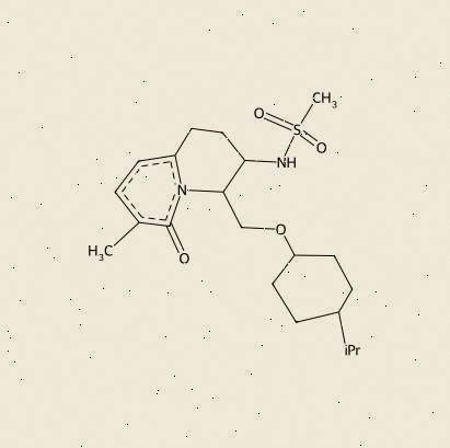 Cc1ccc2n(c1=O)C(COC1CCC(C(C)C)CC1)C(NS(C)(=O)=O)CC2